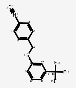 [C-]#[N+]c1ccc(CSc2cccc(C(F)(F)F)c2)cc1